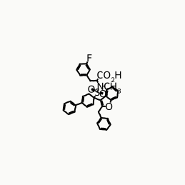 CN(C(Cc1cccc(F)c1)C(=O)O)S(=O)(=O)C1(c2c(Cc3ccccc3)oc3ccccc23)C=CC(c2ccccc2)=CC1